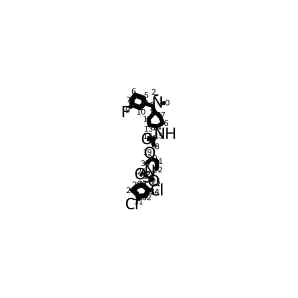 CN(C)C(c1cccc(F)c1)C1CCC(NC(=O)COC2CCN(S(=O)(=O)c3ccc(Cl)cc3Cl)C2)CC1